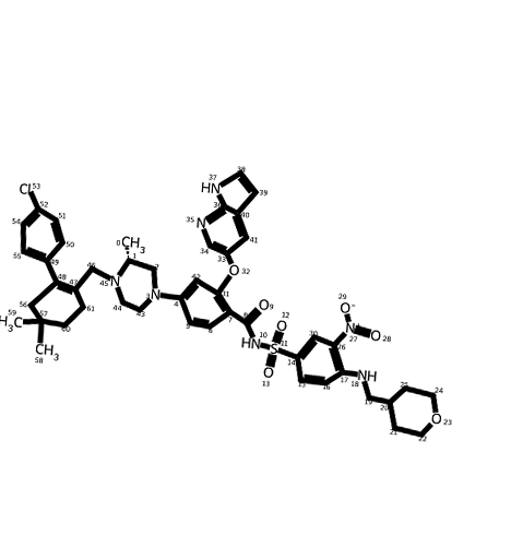 C[C@@H]1CN(c2ccc(C(=O)NS(=O)(=O)c3ccc(NCC4CCOCC4)c([N+](=O)[O-])c3)c(Oc3cnc4[nH]ccc4c3)c2)CCN1CC1=C(c2ccc(Cl)cc2)CC(C)(C)CC1